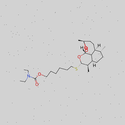 CCN(CC)C(=O)OCCCCCCS[C@@H]1O[C@@H]2O[C@@]3(C)CC[C@H]4[C@H](C)CC[C@@H]([C@H]1C)[C@@]24OO3